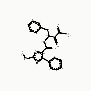 CNc1nc(-c2ccccc2)c(C(=O)NC(Cc2ccccc2)C(=O)C(N)=O)o1